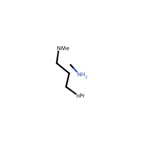 CCCCCCNC.CN